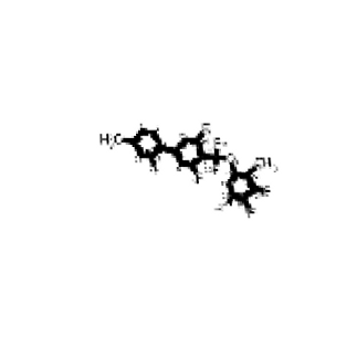 Cc1ccc(-c2cc(F)c(C(F)(F)Oc3cc(F)c(F)c(F)c3C)c(F)c2)c(F)c1